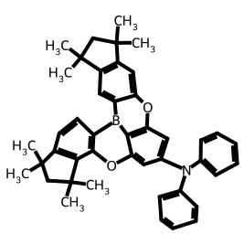 CC1(C)CC(C)(C)c2cc3c(cc21)Oc1cc(N(c2ccccc2)c2ccccc2)cc2c1B3c1ccc3c(c1O2)C(C)(C)CC3(C)C